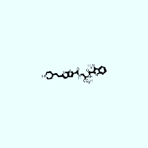 NC1C(C(=O)NC(CNC(=O)c2cc3cc(CCC4CCNCC4)sc3s2)C(=O)O)=Nc2ccccc21